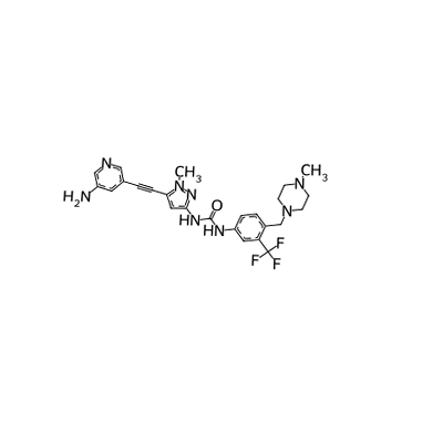 CN1CCN(Cc2ccc(NC(=O)Nc3cc(C#Cc4cncc(N)c4)n(C)n3)cc2C(F)(F)F)CC1